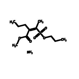 CCCOS(=O)(=O)C(C)=C(CCC)C(=O)OC.N